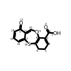 O=C(O)C1=CCCC2=C1OC=C1C(=O)C=CC=C1S2